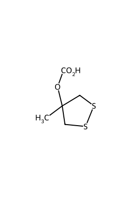 CC1(OC(=O)O)CSSC1